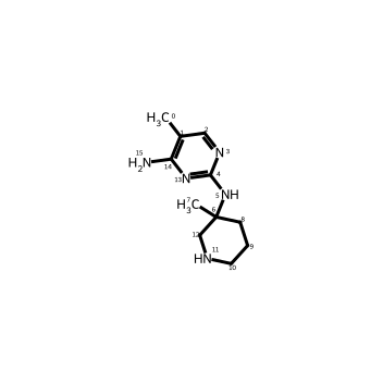 Cc1cnc(NC2(C)CCCNC2)nc1N